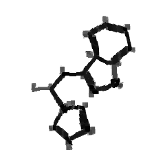 CC(Cc1noc2ccccc12)n1ccnc1